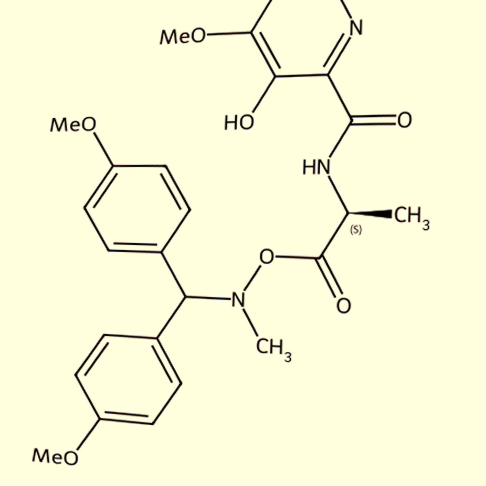 COc1ccc(C(c2ccc(OC)cc2)N(C)OC(=O)[C@H](C)NC(=O)c2nccc(OC)c2O)cc1